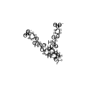 CC1(C)O[C@]23CC[C@H]4[C@@H](C[C@H](OC(=O)NCC(=O)Oc5ccc([N+](=O)[O-])cc5)[C@H]5C[C@@H](OC(=O)NCC(=O)Oc6ccc([N+](=O)[O-])cc6)CC[C@@]54C)[C@@H]2CCC13